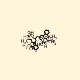 CCCCC(CC(COP(O)O)CC(COP(O)O)CC(CCCC)c1ccccc1C(C)(C)C)c1ccccc1C(C)(C)C